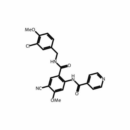 COc1ccc(CNC(=O)c2cc(C#N)c(OC)cc2NC(=O)c2ccncc2)cc1Cl